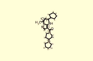 CC1(C)CC(C2CCCCC2)Nc2c(C(=O)N3CCC(N4CCCCC4)CC3)cnn21